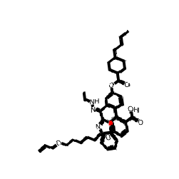 C=CCOCCCCCCOc1ccc(C(=O)O)c(-c2ccc(OC(=O)C3CCC(CCCC)CC3)cc2C(=NNCC)c2nc3ccccc3s2)c1